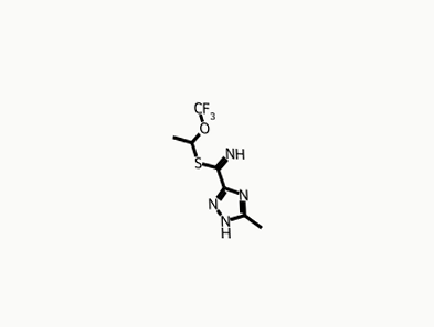 Cc1nc(C(=N)SC(C)OC(F)(F)F)n[nH]1